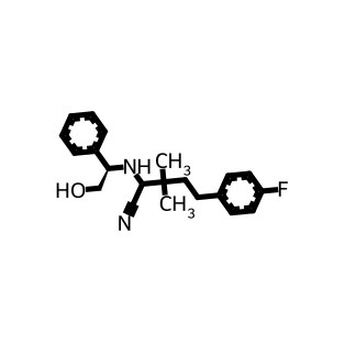 CC(C)(CCc1ccc(F)cc1)C(C#N)N[C@@H](CO)c1ccccc1